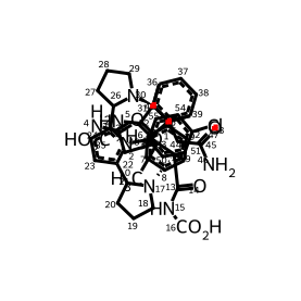 CC1(CC(N)=O)c2ccc(cc2)[C@]1(C(=O)NC(=O)O)N1CCCC1c1ccc(C2CCCN2[C@@]2(C(=O)NC(=O)O)c3ccc(cc3)C2(C)CC(N)=O)n1-c1ccc(Cl)cc1